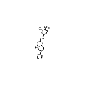 Cn1ncc(OC[C@@H]2CC[C@H]3CN(c4ncccn4)CCN3C2)nc1=O